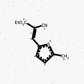 CCOC(=O)/C(C#N)=C/c1ccc(C)s1